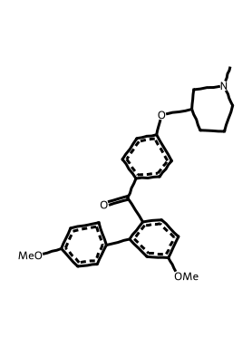 COc1ccc(-c2cc(OC)ccc2C(=O)c2ccc(OC3CCCN(C)C3)cc2)cc1